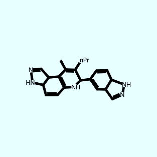 CCCC1=C(C)C2=C(C=CC3NN=CC23)NC1C1=CC2C=NNC2C=C1